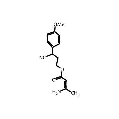 COc1ccc(C(C#N)CCOC(=O)/C=C(/C)N)cc1